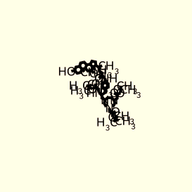 CC(CCC(=O)Nc1ccc(CC(CN2CCN(CC(=O)OC(C)(C)C)CCN(CC(=O)OC(C)(C)C)CC2)NCC(=O)OC(C)(C)C)cc1)C1CCC2C3CCC4CC(O)CCC4(C)C3CC(O)C12C